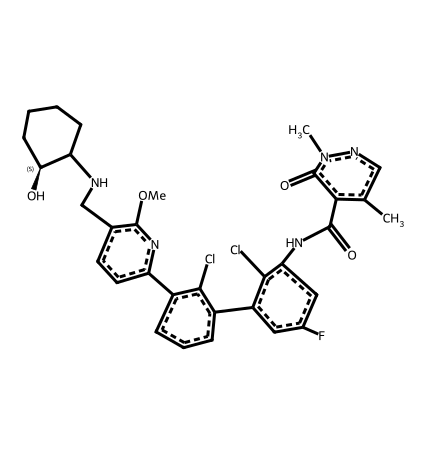 COc1nc(-c2cccc(-c3cc(F)cc(NC(=O)c4c(C)cnn(C)c4=O)c3Cl)c2Cl)ccc1CNC1CCCC[C@@H]1O